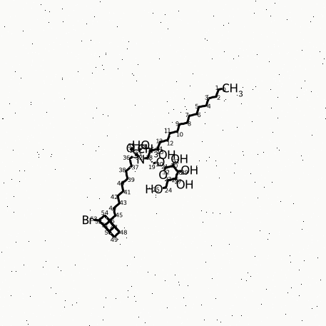 CCCCCCCCCCCCCC[C@@H](O)[C@@H](O)[C@H](COC1OC(CO)C(O)C(O)C1O)N=S(C)(=O)CCCCCCCCCCC12C3C4C5C3C1C5(Br)C42